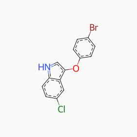 Clc1ccc2[nH]cc(Oc3ccc(Br)cc3)c2c1